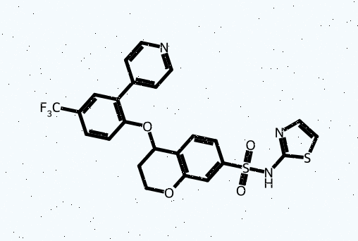 O=S(=O)(Nc1nccs1)c1ccc2c(c1)OCCC2Oc1ccc(C(F)(F)F)cc1-c1ccncc1